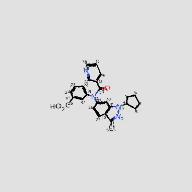 CCc1nn(C2CCCC2)c2cc(N(C(=O)c3cccnc3)c3cccc(C(=O)O)c3)ccc12